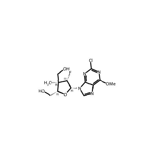 COc1nc(Cl)nc2c1ncn2[C@@H]1O[C@H](CO)[C@@](C)(CO)[C@@H]1F